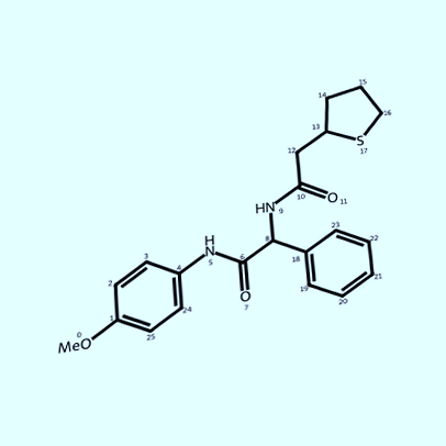 COc1ccc(NC(=O)C(NC(=O)CC2CCCS2)c2ccccc2)cc1